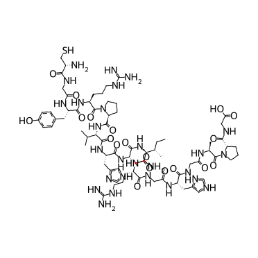 CC[C@H](C)[C@H](NC(=O)[C@H](CC(N)=O)NC(=O)[C@H](Cc1c[nH]cn1)NC(=O)[C@@H](NC(=O)[C@@H]1CCCN1C(=O)[C@H](CCCNC(=N)N)NC(=O)[C@H](Cc1ccc(O)cc1)NC(=O)CNC(=O)[C@@H](N)CS)C(C)C)C(=O)N[C@@H](CCCNC(=N)N)C(=O)NCC(=O)N[C@@H](Cc1c[nH]cn1)C(=O)NCC(=O)N[C@@H](C)C(=O)N1CCC[C@H]1C(=O)NCC(=O)O